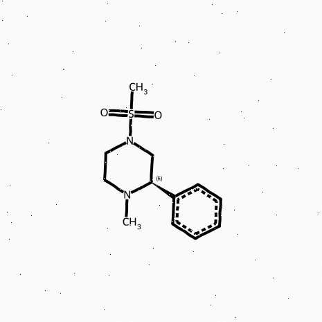 CN1CCN(S(C)(=O)=O)C[C@H]1c1ccccc1